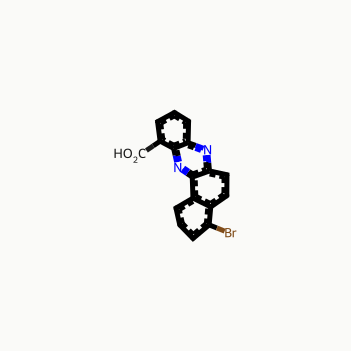 O=C(O)c1cccc2nc3ccc4c(Br)cccc4c3nc12